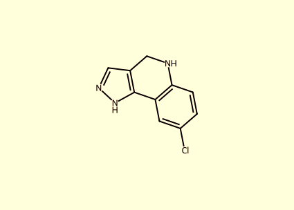 Clc1ccc2c(c1)-c1[nH]ncc1CN2